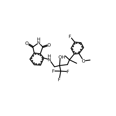 COc1ccc(F)cc1C(C)(C)CC(O)(CNc1cccc2c1C(=O)NC2=O)C(F)(F)F